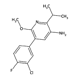 COc1nc(C(C)C)c(N)cc1-c1ccc(F)c(Cl)c1